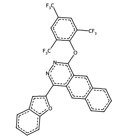 FC(F)(F)c1cc(C(F)(F)F)c(Oc2nnc(-c3cc4ccccc4o3)c3cc4ccccc4cc23)c(C(F)(F)F)c1